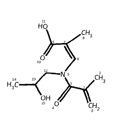 C=C(C)C(=O)N(C=C(C)C(=O)O)CC(C)O